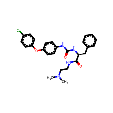 CN(C)CCNC(=O)[C@H](Cc1ccccc1)NC(=O)Nc1ccc(Oc2ccc(Cl)cc2)cc1